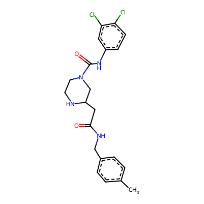 Cc1ccc(CNC(=O)CC2CN(C(=O)Nc3ccc(Cl)c(Cl)c3)CCN2)cc1